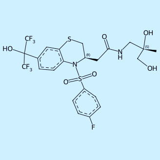 C[C@@](O)(CO)CNC(=O)C[C@@H]1CSc2cc(C(O)(C(F)(F)F)C(F)(F)F)ccc2N1S(=O)(=O)c1ccc(F)cc1